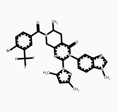 Cc1cc(C)n(-c2nc3c(c(=O)n2-c2ccc4c(c2)ncn4C)CC(C)N(C(=O)c2ccc(Br)c(C(F)(F)F)c2)C3)n1